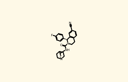 N#Cc1ccc2c(c1)[C@H](c1ccc(F)cc1)N(C(=O)NC1CN3CCC1CC3)CC2